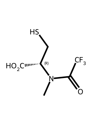 CN(C(=O)C(F)(F)F)[C@@H](CS)C(=O)O